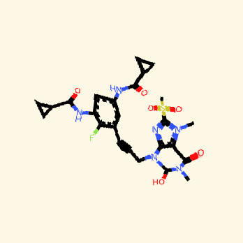 CN1C(=O)c2c(nc(S(C)(=O)=O)n2C)N(CC#Cc2cc(NC(=O)C3CC3)cc(NC(=O)C3CC3)c2F)C1O